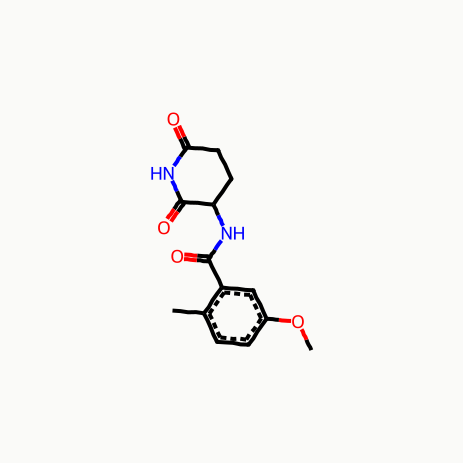 COc1ccc(C)c(C(=O)NC2CCC(=O)NC2=O)c1